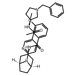 COc1cccc(C(=O)N[C@H]2C[C@H]3CC[C@@H](C2)N3c2ccc(C(=O)N[C@H]3CCN(Cc4ccccc4)C3)cn2)c1C